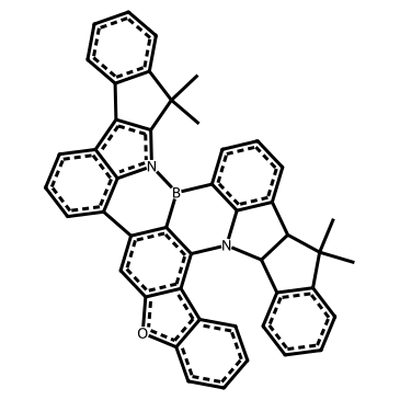 CC1(C)c2ccccc2-c2c1n1c3c(cccc23)-c2cc3oc4ccccc4c3c3c2B1c1cccc2c1N3C1c3ccccc3C(C)(C)C21